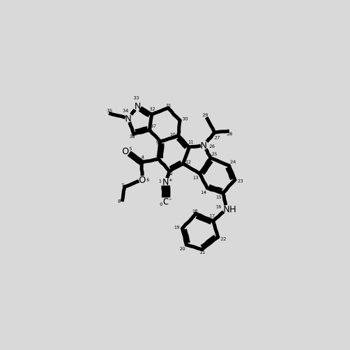 [C-]#[N+]c1c(C(=O)OCC)c2c(c3c1c1cc(Nc4ccccc4)ccc1n3C(C)C)CCc1nn(C)cc1-2